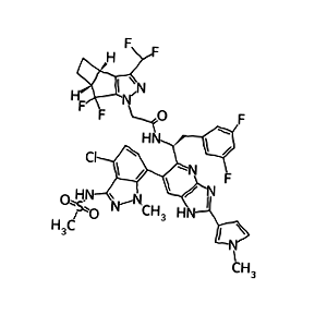 Cn1ccc(-c2nc3nc([C@H](Cc4cc(F)cc(F)c4)NC(=O)Cn4nc(C(F)F)c5c4C(F)(F)[C@@H]4CC[C@H]54)c(-c4ccc(Cl)c5c(NS(C)(=O)=O)nn(C)c45)cc3[nH]2)c1